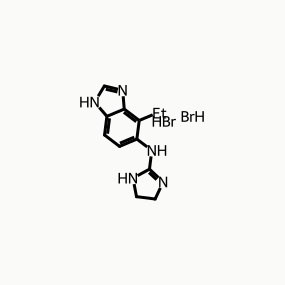 Br.Br.CCc1c(NC2=NCCN2)ccc2[nH]cnc12